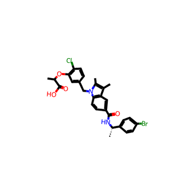 Cc1c(C)n(Cc2ccc(Cl)c(OC(C)C(=O)O)c2)c2ccc(C(=O)N[C@@H](C)c3ccc(Br)cc3)cc12